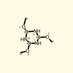 COB1NB(OC)NB(OC)N1